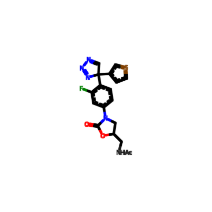 CC(=O)NCC1CN(c2ccc(C3(c4ccsc4)C=NN=N3)c(F)c2)C(=O)O1